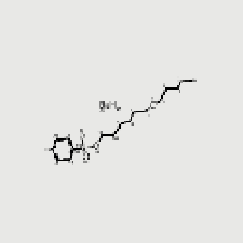 CCCCCCCCCCCCOS(=O)(=O)c1ccccc1.[BaH2]